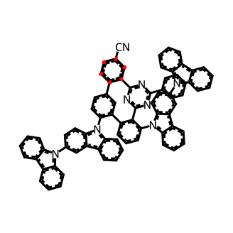 N#Cc1ccc(-c2ccc(-n3c4ccccc4c4cc(-n5c6ccccc6c6ccccc65)ccc43)c(-c3cccc(-n4c5ccccc5c5cc(-n6c7ccccc7c7ccccc76)ccc54)c3-c3nc(-c4ccccc4)nc(-c4ccccc4)n3)c2)cc1